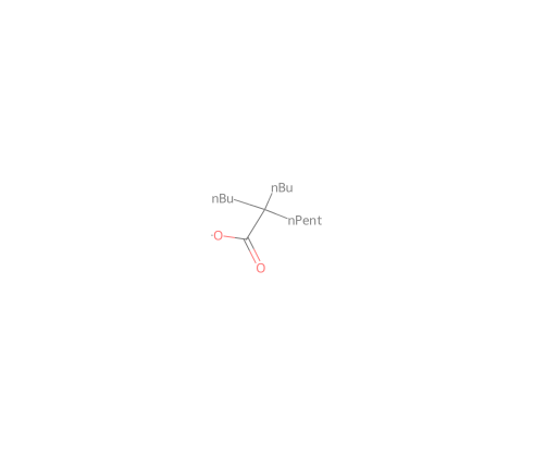 CCCCCC(CCCC)(CCCC)C([O])=O